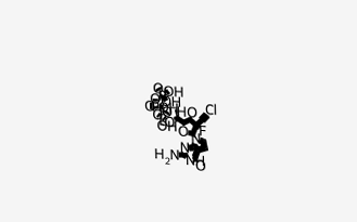 C[C@H](OP(=O)(O)OP(=O)(O)OP(=O)(O)O)[C@H]1O[C@@H](n2ccc3c(=O)[nH]c(N)nc32)C(F)(C#CCl)[C@H]1O